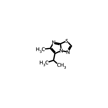 Cc1nc2scnn2c1C(C)C